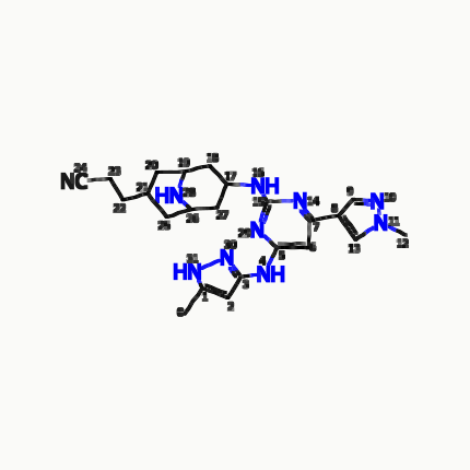 Cc1cc(Nc2cc(-c3cnn(C)c3)nc(NC3CC4CC(CCC#N)CC(C3)N4)n2)n[nH]1